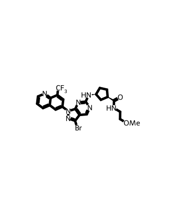 COCCNC(=O)[C@@H]1CC[C@@H](Nc2ncc3c(Br)nn(-c4cc(C(F)(F)F)c5ncccc5c4)c3n2)C1